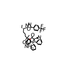 CC[C@@H](CCCC(C)(C)[C@H](OC(N)=O)C(=O)C(C#N)=P(c1ccccc1)(c1ccccc1)c1ccccc1)c1nnc(-c2ccc(C(F)(F)F)cc2)o1